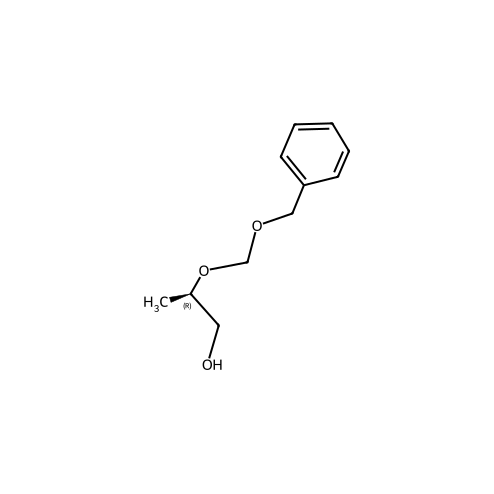 C[C@H](CO)OCOCc1ccccc1